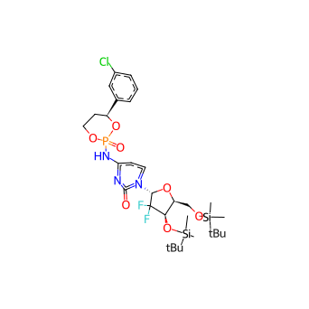 CC(C)(C)[Si](C)(C)OC[C@@H]1O[C@@H](n2ccc(NP3(=O)OCC[C@@H](c4cccc(Cl)c4)O3)nc2=O)C(F)(F)[C@@H]1O[Si](C)(C)C(C)(C)C